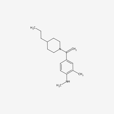 C=C(c1ccc(NC)c(C)c1)N1CCC(CCC)CC1